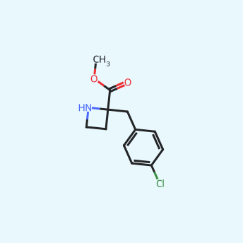 COC(=O)C1(Cc2ccc(Cl)cc2)CCN1